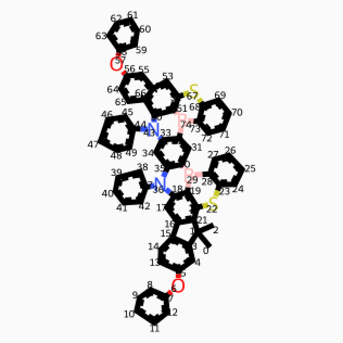 CC1(C)c2cc(Oc3ccccc3)ccc2-c2cc3c4c(c21)Sc1ccccc1B4c1cc2c(cc1N3c1ccccc1)N(c1ccccc1)c1c3c(cc4cc(Oc5ccccc5)ccc14)Sc1ccccc1B23